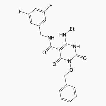 CCNc1[nH]c(=O)n(OCc2ccccc2)c(=O)c1C(=O)NCc1cc(F)cc(F)c1